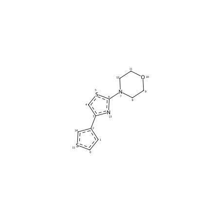 c1cc(-c2csc(N3CCOCC3)n2)cs1